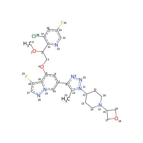 COC(COc1cc(-c2nnn(C3CCN(C4COC4)CC3)c2C)cn2ncc(F)c12)c1ncc(F)cc1Cl